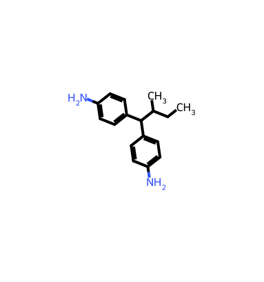 CCC(C)C(c1ccc(N)cc1)c1ccc(N)cc1